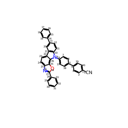 N#Cc1ccc(-c2ccc(-n3c4ccc(-c5ccccc5)cc4c4ccc5nc(-c6ccccc6)oc5c43)cc2)cc1